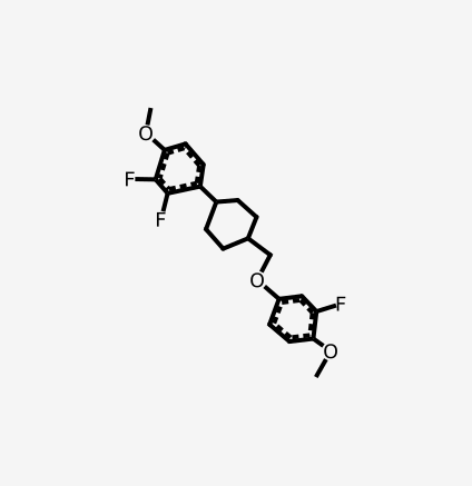 COc1ccc(OCC2CCC(c3ccc(OC)c(F)c3F)CC2)cc1F